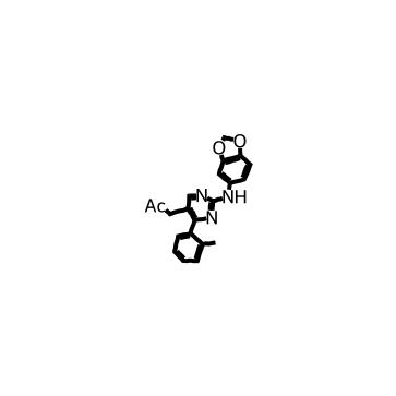 CC(=O)Cc1cnc(Nc2ccc3c(c2)OCO3)nc1-c1ccccc1C